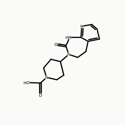 O=C(O)N1CCC(N2CCc3cccnc3NC2=O)CC1